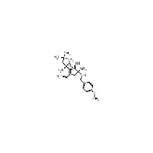 C=CCCC(C)(NCc1ccc(OC)cc1)C(=N)NC(C)(C)CC(C)(C)C